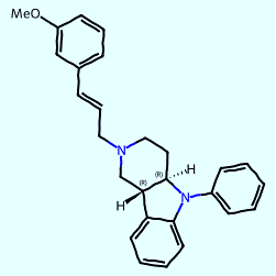 COc1cccc(C=CCN2CC[C@@H]3[C@@H](C2)c2ccccc2N3c2ccccc2)c1